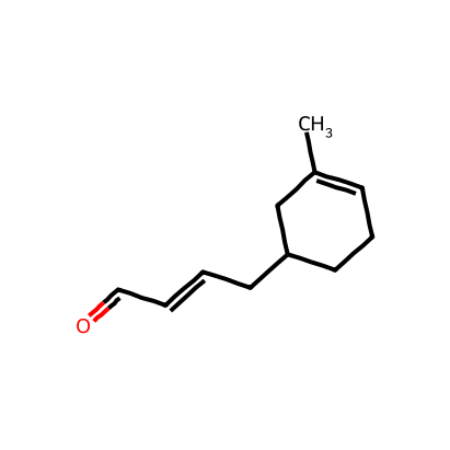 CC1=CCCC(CC=CC=O)C1